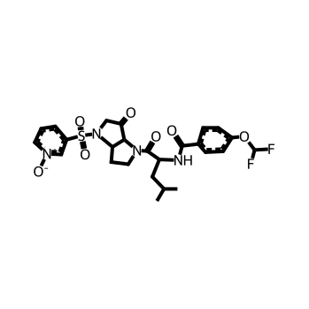 CC(C)CC(NC(=O)c1ccc(OC(F)F)cc1)C(=O)N1CCC2C1C(=O)CN2S(=O)(=O)c1ccc[n+]([O-])c1